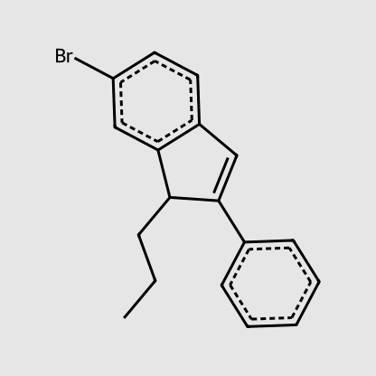 CCCC1C(c2ccccc2)=Cc2ccc(Br)cc21